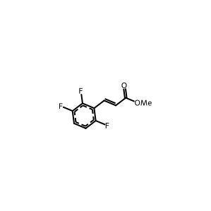 COC(=O)/C=C/c1c(F)ccc(F)c1F